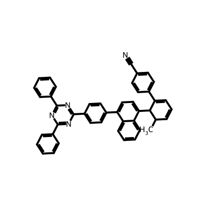 CC1C=CC=C(c2ccc(C#N)cc2)C1c1ccc(-c2ccc(-c3nc(-c4ccccc4)nc(-c4ccccc4)n3)cc2)c2ccccc12